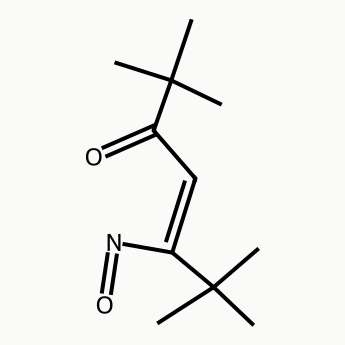 CC(C)(C)C(=O)/C=C(\N=O)C(C)(C)C